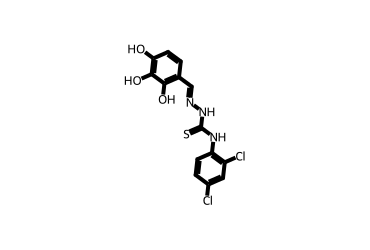 Oc1ccc(/C=N/NC(=S)Nc2ccc(Cl)cc2Cl)c(O)c1O